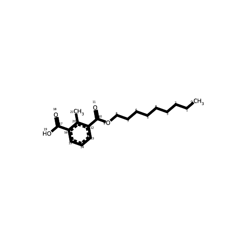 CCCCCCCCCOC(=O)c1cccc(C(=O)O)c1C